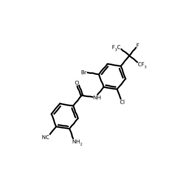 N#Cc1ccc(C(=O)Nc2c(Cl)cc(C(F)(C(F)(F)F)C(F)(F)F)cc2Br)cc1N